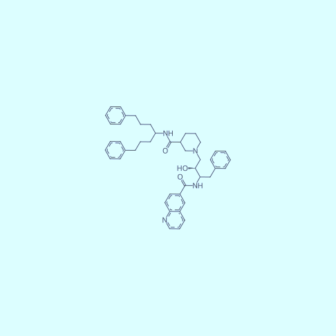 O=C(NC(Cc1ccccc1)[C@@H](O)CN1CCCC(C(=O)NC(CCCc2ccccc2)CCCc2ccccc2)C1)c1ccc2ncccc2c1